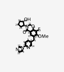 COc1c(Cc2ccc(-n3ccnc3)nc2)cc2c(c1F)OCN([C@H]1CCC[C@@H]1O)C2=O